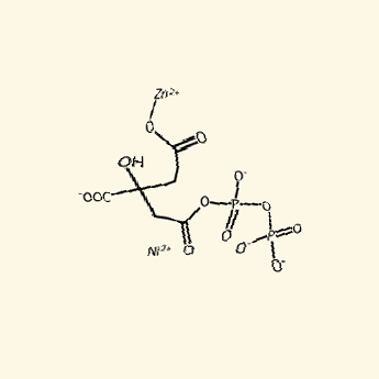 O=C(CC(O)(CC(=O)OP(=O)([O-])OP(=O)([O-])[O-])C(=O)[O-])[O][Zn+2].[Ni+2]